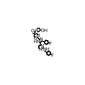 CC1(C(=O)N2CCC(O)C2)COC(c2nc(-c3ccc(F)cc3)c(-c3ccnc(NCc4ccc(F)cc4)n3)[nH]2)OC1